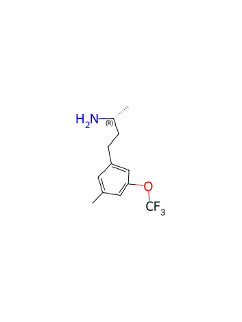 Cc1cc(CC[C@@H](C)N)cc(OC(F)(F)F)c1